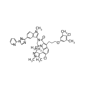 Cc1cc(OCCCc2c3n(c4c(-c5c(C)nn(C)c5C)c(Cl)ccc24)[C@H](C)CN(c2cn(C)c4ccc(-c5ncn(-c6ccccn6)n5)cc24)C3=O)cc(C)c1Cl